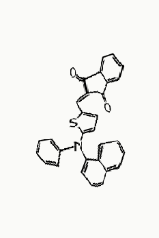 O=C1C(=Cc2ccc(N(c3ccccc3)c3cccc4ccccc34)s2)C(=O)c2ccccc21